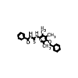 Cc1nc(NC(=S)NC(=O)c2ccccc2)c(C)c(C)c1OCc1ccccc1